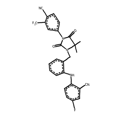 CC1(C)C(=O)N(c2ccc(C#N)c(C(F)(F)F)c2)C(=O)N1Cc1ccccc1Nc1ccc(F)cc1C#N